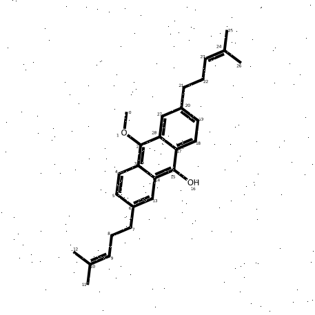 COc1c2ccc(CCC=C(C)C)cc2c(O)c2ccc(CCC=C(C)C)cc12